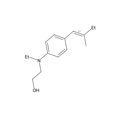 CC/C(C)=C/c1ccc(N(CC)CCO)cc1